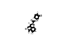 C[C@@H](c1c[nH]c(=O)c2c(Cl)cccc12)N(C)C(=O)Nc1ccc(F)c(Cl)c1